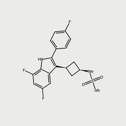 CCCS(=O)(=O)N[C@H]1C[C@@H](c2c(-c3ccc(F)cc3)[nH]c3c(F)cc(F)cc32)C1